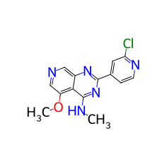 CNc1nc(-c2ccnc(Cl)c2)nc2cncc(OC)c12